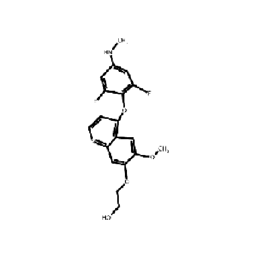 CNc1cc(F)c(Oc2ccnc3cc(OCCO)c(OC)cc23)c(F)c1